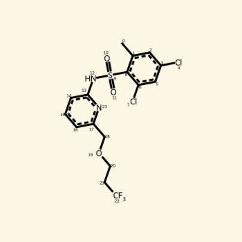 Cc1cc(Cl)cc(Cl)c1S(=O)(=O)Nc1cccc(COCCC(F)(F)F)n1